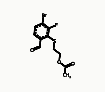 CC(=O)OCCSc1c(C=O)ccc(Br)c1F